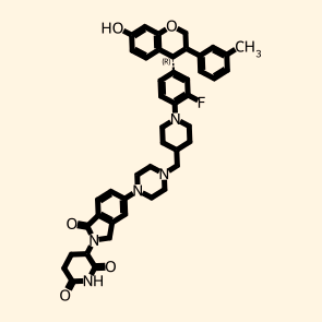 Cc1cccc(C2COc3cc(O)ccc3[C@H]2c2ccc(N3CCC(CN4CCN(c5ccc6c(c5)CN(C5CCC(=O)NC5=O)C6=O)CC4)CC3)c(F)c2)c1